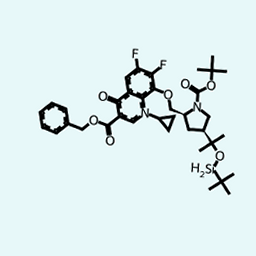 CC(C)(C)OC(=O)N1C[C@@H](C(C)(C)O[SiH2]C(C)(C)C)C[C@H]1COc1c(F)c(F)cc2c(=O)c(C(=O)OCc3ccccc3)cn(C3CC3)c12